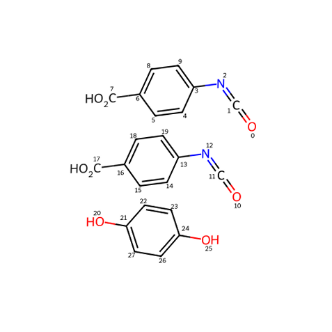 O=C=Nc1ccc(C(=O)O)cc1.O=C=Nc1ccc(C(=O)O)cc1.Oc1ccc(O)cc1